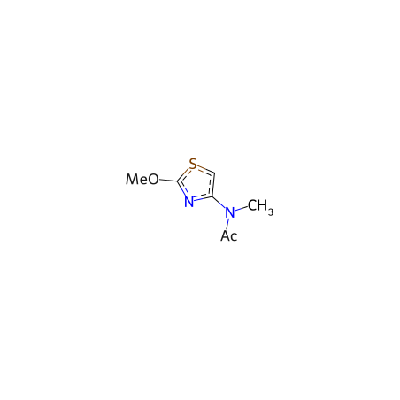 COc1nc(N(C)C(C)=O)cs1